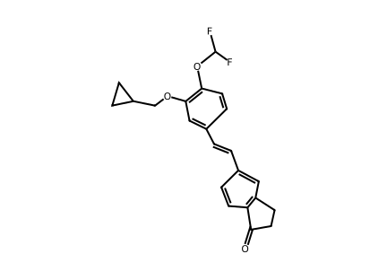 O=C1CCc2cc(/C=C/c3ccc(OC(F)F)c(OCC4CC4)c3)ccc21